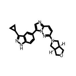 c1cc2[nH]nc(C3CC3)c2cc1-c1cnc2ccc(N3C[C@H]4COC[C@H]4C3)nn12